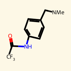 CNCc1ccc(NC(=O)C(F)(F)F)cc1